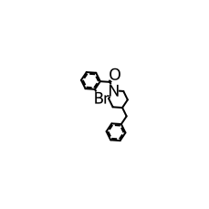 O=C(c1ccccc1Br)N1CCC(Cc2ccccc2)CC1